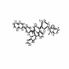 c1cc(-c2cc3ccccc3o2)cc(-c2ccc(N(c3ccc(-c4ccc5ccccc5c4)cc3)c3ccc4ccccc4c3)c3ccccc23)c1